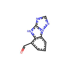 O=[C]c1cccc2c1[nH]c1ncnn12